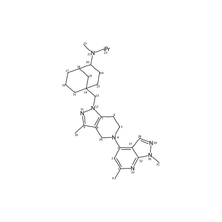 Cc1cc(N2CCc3c(c(C)nn3CC34CCCC(C3)C(N(C)C(C)C)CC4)C2)c2cnn(C)c2n1